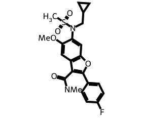 CNC(=O)c1c(-c2ccc(F)cc2)oc2cc(N(CC3CC3)S(C)(=O)=O)c(OC)cc12